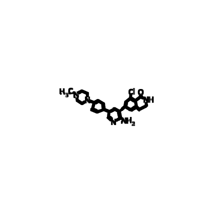 CN1CCN(c2ccc(-c3cnc(N)c(-c4cc(Cl)c5c(c4)CCNC5=O)c3)cc2)CC1